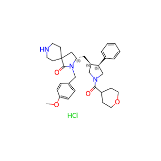 COc1ccc(CN2C(=O)C3(CCNCC3)C[C@@H]2C[C@@H]2CN(C(=O)C3CCOCC3)C[C@@H]2c2ccccc2)cc1.Cl